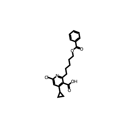 O=C(OCCCCCc1nc(Cl)cc(C2CC2)c1C(=O)O)c1ccccc1